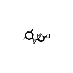 CC1=CC[C@@H](C)CC(N(C)c2ccc(Cl)nn2)C1